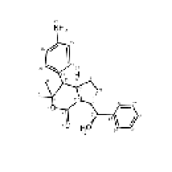 CC1(C)OC(=O)N2[C@H](CC[C@@H]2[C@H](O)c2ccccc2)C1c1ccc(N)cc1